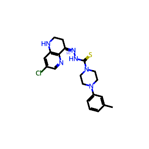 Cc1cccc(N2CCN(C(=S)N/N=C3/CCNc4cc(Cl)cnc43)CC2)c1